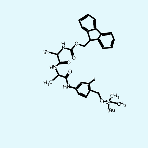 CC(NC(=O)C(NC(=O)OCC1c2ccccc2-c2ccccc21)C(C)C)C(=O)Nc1ccc(CO[Si](C)(C)C(C)(C)C)c(I)c1